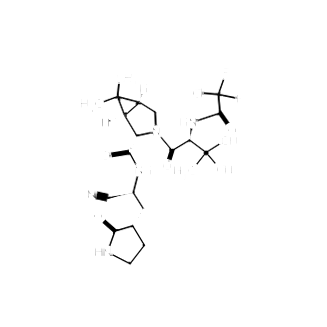 CC(C)(C)[C@H](NC(=O)C(F)(F)Cl)C(=O)N1C[C@H]2[C@@H]([C@H]1C(=O)N[C@H](C#N)C[C@@H]1CCNC1=O)C2(C)C